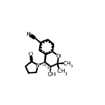 CC1(C)Oc2ccc(C#N)cc2[C@H](N2CCCC2=O)[C@@H]1O